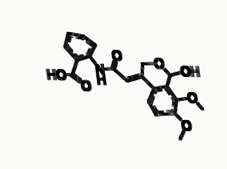 COc1ccc2c(c1OC)C(O)OC/C2=C\C(=O)Nc1ccccc1C(=O)O